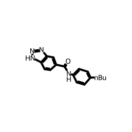 CCCCc1ccc(NC(=O)c2ccc3[nH]nnc3c2)cc1